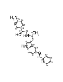 C[C@H](Cc1c[nH]c2ccc(OCc3ccccc3)cc12)NC[C@H](O)c1ccc(N)nc1